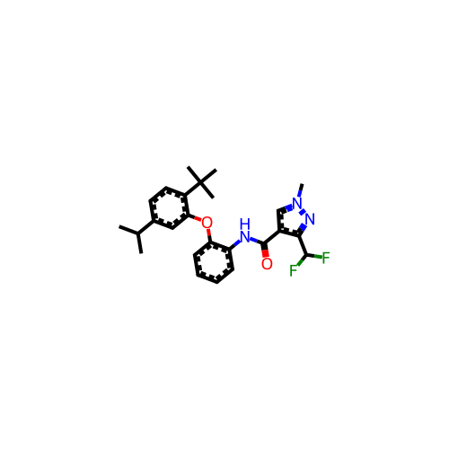 CC(C)c1ccc(C(C)(C)C)c(Oc2ccccc2NC(=O)c2cn(C)nc2C(F)F)c1